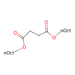 CCCCCCCCOC(=O)[CH]CC(=O)OCCCCCCCC